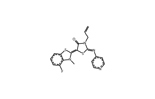 C=CCN1C(=O)/C(=C2\Sc3cccc(F)c3N2C)S/C1=N\c1ccncc1